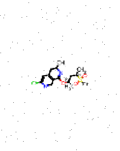 CCS(=O)(=O)[C@H](C)C[C@@H](C)OC1=NC(C)Cc2cc(Cl)ncc21